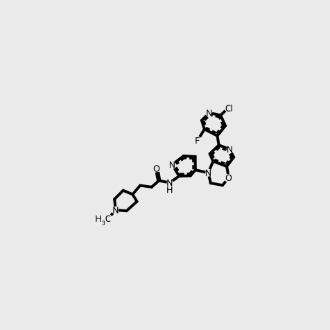 CN1CCC(CCC(=O)Nc2cc(N3CCOc4cnc(-c5cc(Cl)ncc5F)cc43)ccn2)CC1